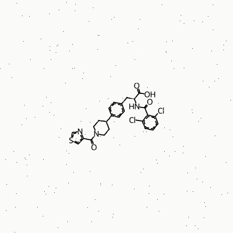 O=C(N[C@@H](Cc1ccc(C2CCN(C(=O)c3cscn3)CC2)cc1)C(=O)O)c1c(Cl)cccc1Cl